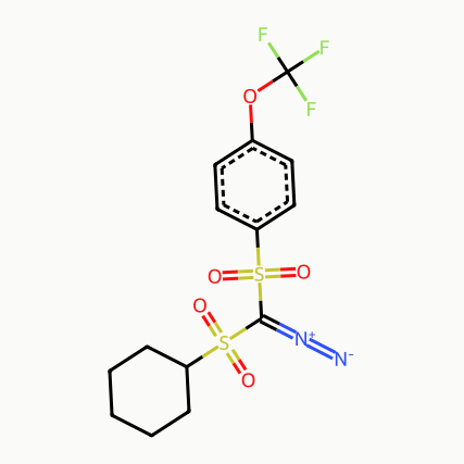 [N-]=[N+]=C(S(=O)(=O)c1ccc(OC(F)(F)F)cc1)S(=O)(=O)C1CCCCC1